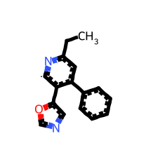 CCc1cc(-c2ccccc2)c(-c2cnco2)[c]n1